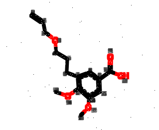 C=CCOCCCc1cc(C(=O)O)cc(OC)c1OC